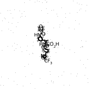 O=C(Nc1cccc(C2CC2(NS(=O)(=O)c2ccc(-c3cc(C(F)(F)F)on3)s2)C(=O)O)c1)N1CCOCC1